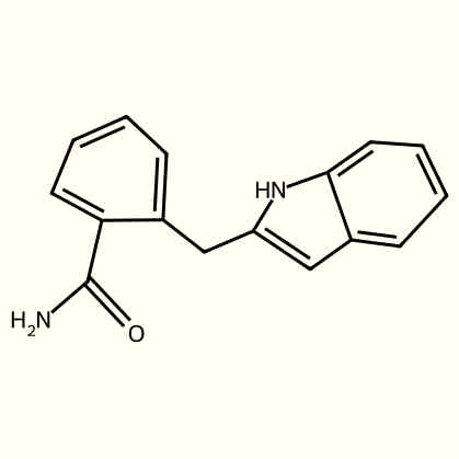 NC(=O)c1ccccc1Cc1cc2ccccc2[nH]1